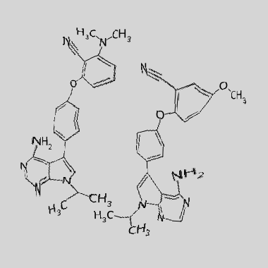 CC(C)n1cc(-c2ccc(Oc3cccc(N(C)C)c3C#N)cc2)c2c(N)ncnc21.COc1ccc(Oc2ccc(-c3cn(C(C)C)c4ncnc(N)c34)cc2)c(C#N)c1